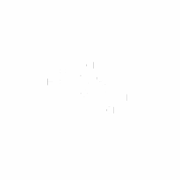 CCC(C)(CO)C1OCC(C)(C)CO1